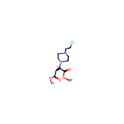 CC(C)OC(=O)/C=C(\C(=O)OC(C)C)N1CCN(CCCl)CC1